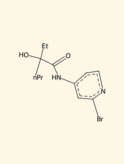 CCCC(O)(CC)C(=O)Nc1ccnc(Br)c1